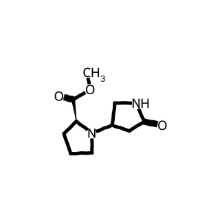 COC(=O)[C@@H]1CCCN1C1CNC(=O)C1